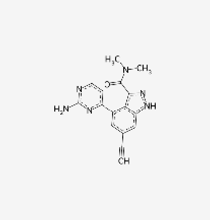 C#Cc1cc(-c2ccnc(N)n2)c2c(C(=O)N(C)C)n[nH]c2c1